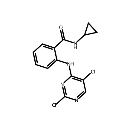 O=C(NC1CC1)c1ccccc1Nc1nc(Cl)ncc1Cl